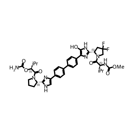 COC(=O)N[C@H](C(=O)N1CC(F)(F)C[C@H]1c1nc(-c2ccc(-c3ccc(-c4c[nH]c([C@@H]5CCCN5C(=O)[C@@H](OC(N)=O)C(C)C)n4)cc3)cc2)c(O)[nH]1)C(C)C